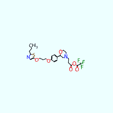 CCCc1ncc(OCCCOc2ccc(C3CN(CCC(=O)OC(=O)C(F)(F)F)CCO3)cc2)s1